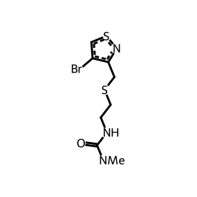 CNC(=O)NCCSCc1nscc1Br